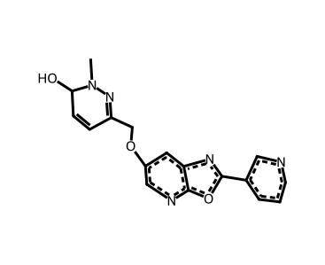 CN1N=C(COc2cnc3oc(-c4cccnc4)nc3c2)C=CC1O